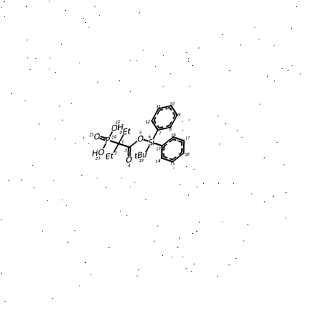 CCC(CC)(C(=O)O[Si](c1ccccc1)(c1ccccc1)C(C)(C)C)P(=O)(O)O